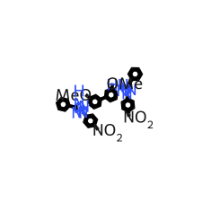 COc1cc(-c2ccc(N3NC(c4ccccc4)=NN3c3ccc([N+](=O)[O-])cc3)c(OC)c2)ccc1N1NC(c2ccccc2)=NN1c1ccc([N+](=O)[O-])cc1